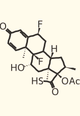 CC(=O)O[C@]1(C(=O)S)[C@H](C)C[C@H]2C3C[C@H](F)C4=CC(=O)C=C[C@]4(C)[C@@]3(F)[C@@H](O)C[C@@]21C